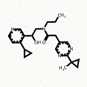 CCCN(CC(O)c1cnccc1C1CC1)C(=O)Cc1cnc(C2(C)CC2)nc1